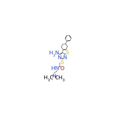 CN(C)CCNC(=O)CSc1nc(N)c2c3c(sc2n1)CC(c1ccccc1)CC3